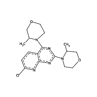 CC1COCCN1c1nc(N2CCOCC2C)c2ccc(Cl)nc2n1